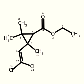 CCOC(=O)C1C(C)(C)C1(C)C=C(Cl)Cl